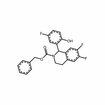 O=C(OCc1ccccc1)N1CCc2cc(F)c(F)cc2C1c1cc(F)ccc1O